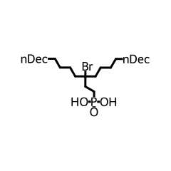 CCCCCCCCCCCCCCC(Br)(CCCCCCCCCCCCCC)CCP(=O)(O)O